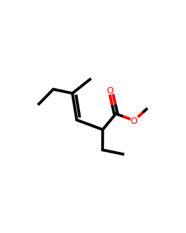 CCC(C)=CC(CC)C(=O)OC